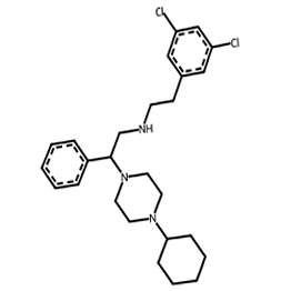 Clc1cc(Cl)cc(CCNCC(c2ccccc2)N2CCN(C3CCCCC3)CC2)c1